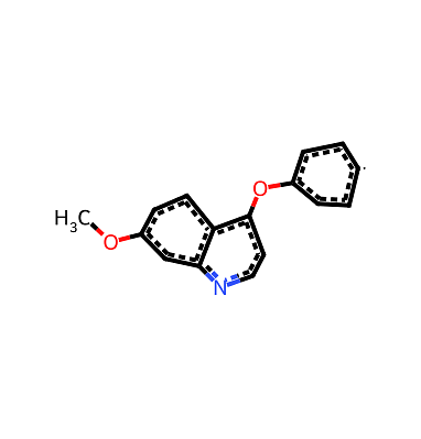 COc1ccc2c(Oc3cc[c]cc3)ccnc2c1